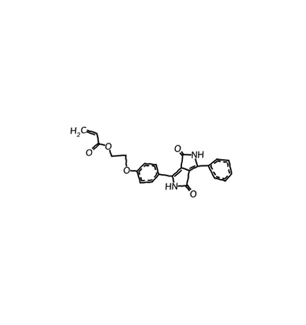 C=CC(=O)OCCOc1ccc(C2=C3C(=O)NC(c4ccccc4)=C3C(=O)N2)cc1